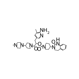 Cc1cc(CC(OC(=O)N2CCC(N3CCc4ccccc4NC3=O)CC2)C(=O)N2CCC(N3CCN(C)CC3)CC2)cnc1N